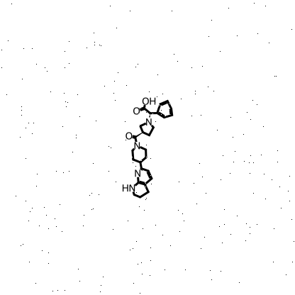 O=C(O)[C@H](c1ccccc1)N1CC[C@@H](C(=O)N2CCC(c3ccc4c(n3)NCCC4)CC2)C1